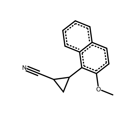 COc1ccc2ccccc2c1C1CC1C#N